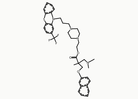 CN(C)CC(C)(COc1ccc2ccccc2c1)C(=O)OCCN1CCN(CCCN2c3ccccc3Sc3ccc(C(F)(F)F)cc32)CC1